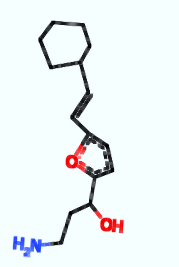 NCCC(O)c1ccc(C=CC2CCCCC2)o1